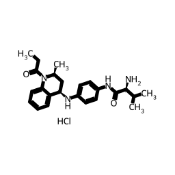 CCC(=O)N1c2ccccc2[C@H](Nc2ccc(NC(=O)[C@@H](N)C(C)C)cc2)C[C@@H]1C.Cl